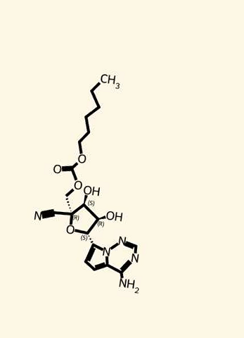 CCCCCCOC(=O)OC[C@@]1(C#N)O[C@@H](c2ccc3c(N)ncnn23)[C@H](O)[C@@H]1O